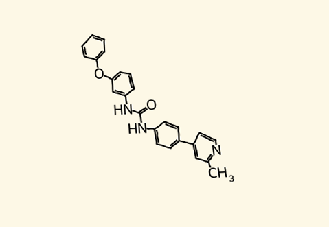 Cc1cc(-c2ccc(NC(=O)Nc3cccc(Oc4ccccc4)c3)cc2)ccn1